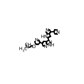 CN(C)CCOc1cncc(-c2cnc3[nH]nc(-c4cc5c(-c6ccncc6)cncc5[nH]4)c3c2)c1